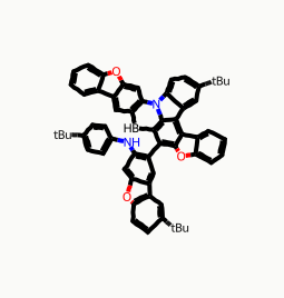 CC(C)(C)c1ccc(Nc2cc3oc4ccc(C(C)(C)C)cc4c3cc2-c2c3c4c(c5cc(C(C)(C)C)ccc5n4-c4cc5oc6ccccc6c5cc4B3)c3c2oc2ccccc23)cc1